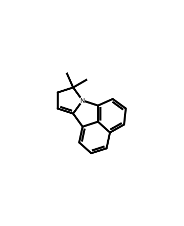 CC1(C)CC=c2c3cccc4cccc(c43)n21